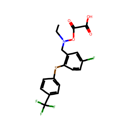 CCN(Cc1cc(F)ccc1Sc1ccc(C(F)(F)F)cc1)OC(=O)C(=O)O